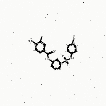 Cc1cc(C(=O)Nc2cccc(S(=O)(=O)Nc3ccc(Br)cc3)c2)ccc1[N+](=O)[O-]